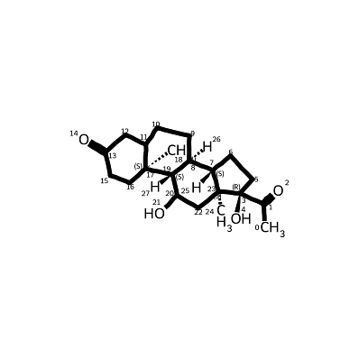 CC(=O)[C@@]1(O)CC[C@H]2[C@@H]3CCC4CC(=O)CC[C@]4(C)[C@H]3C(O)C[C@@]21C